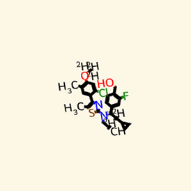 [2H]C([2H])([2H])Oc1cc(Cl)c(-c2nc(N(CC#C)[C@H](c3ccc(CO)c(F)c3)C([2H])([2H])C3CC3)sc2C)cc1C